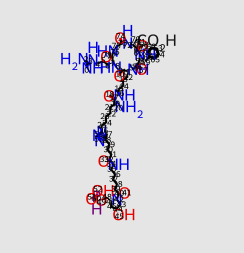 N=C(N)NCCC[C@@H]1NC(=O)[C@H](CCCCNC(=O)[C@H](N)CCCCCn2cc(CCCC(=O)NCCCCCC(=O)N3C[C@H](O)C[C@H]3CO[PH](=O)O)nn2)NC(=O)[C@@H](Cc2ccccc2)NC(=O)[C@H](CC(=O)O)NC(=O)CNC1=O